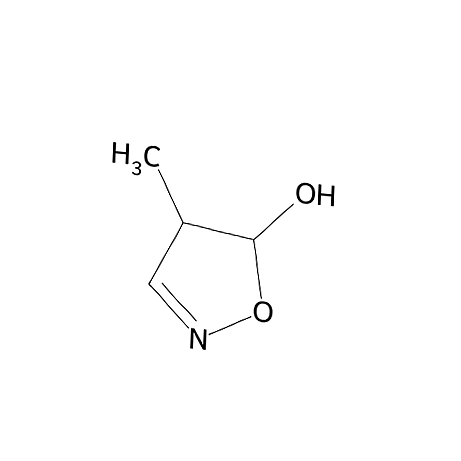 CC1C=NOC1O